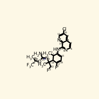 CC1C(Nc2nccc3cc(Cl)cnc23)=CC=C(F)C1C(C)(CF)/N=C(/N)O[C@@H](C)C(F)(F)F